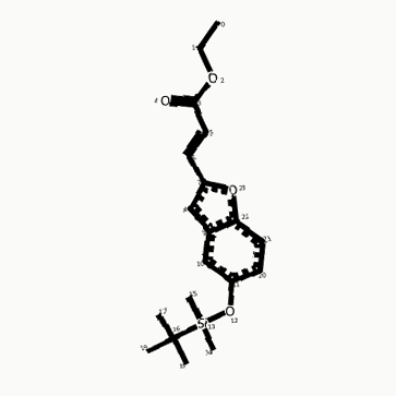 CCOC(=O)C=Cc1cc2cc(O[Si](C)(C)C(C)(C)C)ccc2o1